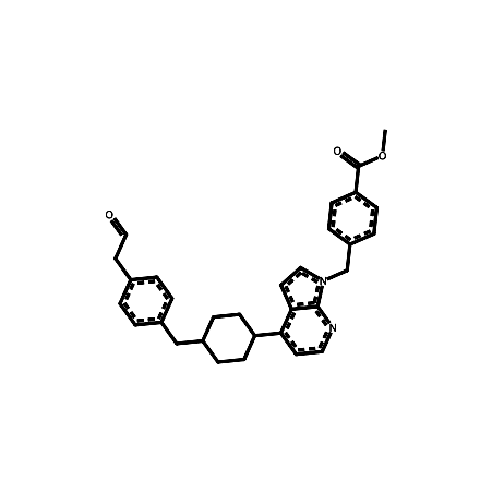 COC(=O)c1ccc(Cn2ccc3c(C4CCC(Cc5ccc(CC=O)cc5)CC4)ccnc32)cc1